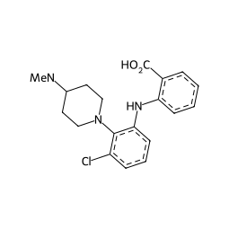 CNC1CCN(c2c(Cl)cccc2Nc2ccccc2C(=O)O)CC1